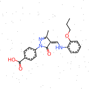 CCCOc1ccccc1N/C=C1\C(=O)N(c2ccc(C(=O)O)cc2)N=C1C